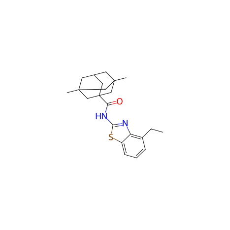 CCc1cccc2sc(NC(=O)C34CC5CC(C)(CC(C)(C5)C3)C4)nc12